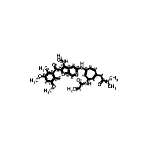 C=CC(=O)NC1C=C(CC(=O)N(C)C)C=CC(Nc2cc3c(NC)c(C(=O)c4c(C)c(OC)cc(OC)c4F)oc3cn2)=C1